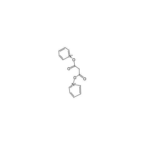 O=C(CC(=O)O[n+]1ccccc1)O[n+]1ccccc1